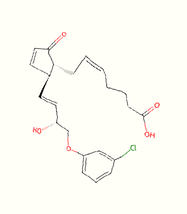 O=C(O)CCC/C=C\C[C@H]1C(=O)C=C[C@@H]1/C=C/[C@@H](O)COc1cccc(Cl)c1